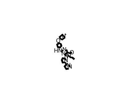 C=CCn1c(=O)c2cnc(Nc3ccc(OC4CCN(C)CC4)cc3)nc2n1-c1cccc(-c2cccnn2)n1